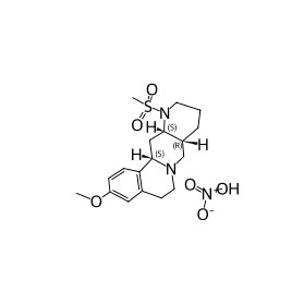 COc1ccc2c(c1)CCN1C[C@H]3CCCN(S(C)(=O)=O)[C@H]3C[C@@H]21.O=[N+]([O-])O